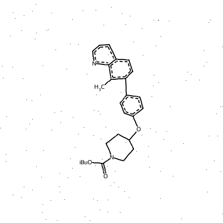 Cc1c(-c2ccc(OC3CCN(C(=O)OCC(C)C)CC3)cc2)ccc2cccnc12